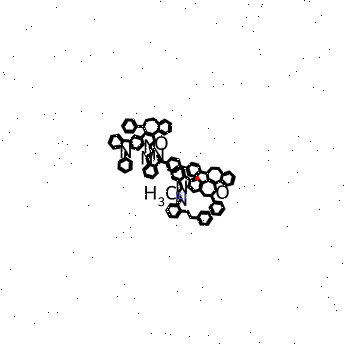 C/C(=N\c1ccccc1CCc1ccccc1)n1c2ccccc2c2cc3c(cc21)CC(c1ccccc1)C(=O)C1=C3C(c2ccc(-c3ccc(-c4nc(-n5c(=O)c6c(c7cc8c9ccccc9n(-c9ccccc9)c8cc75)C(c5ccccc5)CCc5ccccc5-6)nc5ccccc45)cc3)cc2)CCc2ccccc21